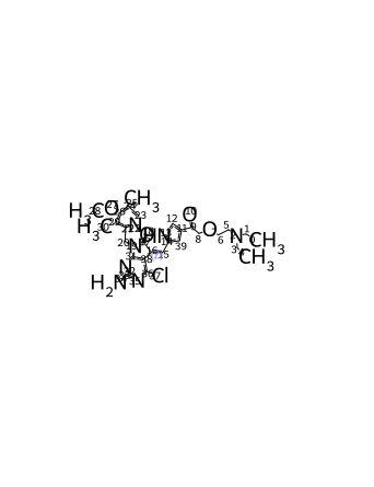 CCN(CC)CCOCC(=O)c1c[nH]c(/C=C2\C(=O)N(Cc3ncc(C)c(OC)c3C)c3nc(N)nc(Cl)c32)c1